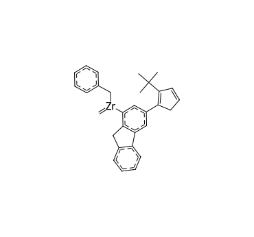 [CH2]=[Zr]([CH2]c1ccccc1)[c]1cc(C2=C(C(C)(C)C)C=CC2)cc2c1Cc1ccccc1-2